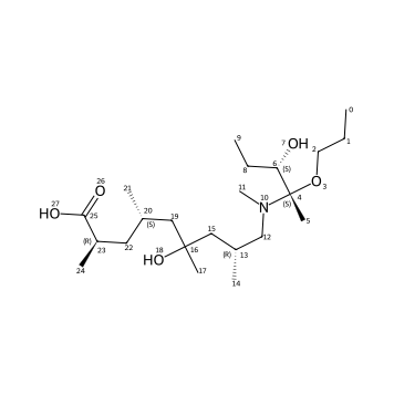 CCCO[C@@](C)([C@@H](O)CC)N(C)C[C@H](C)CC(C)(O)C[C@@H](C)C[C@@H](C)C(=O)O